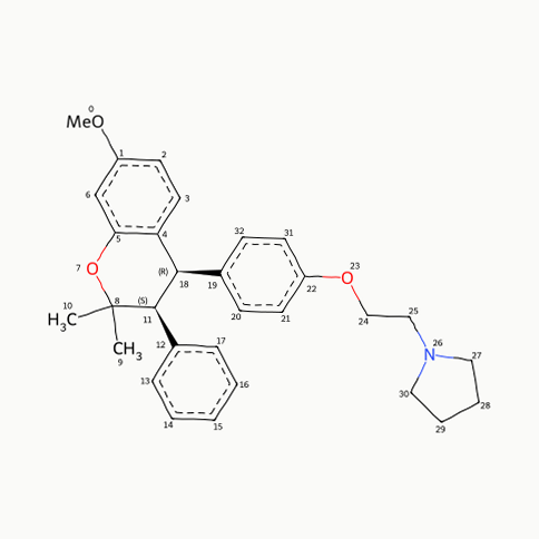 COc1ccc2c(c1)OC(C)(C)[C@H](c1ccccc1)[C@@H]2c1ccc(OCCN2CCCC2)cc1